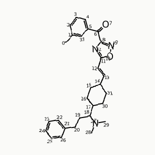 Cc1cccc(C(=O)c2noc(/C=C/C3CCC(C(CCc4ccccc4)N(C)C)CC3)n2)c1